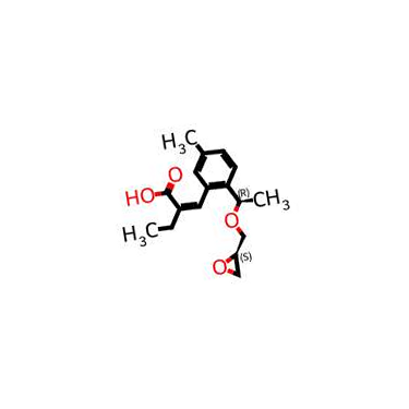 CCC(=Cc1cc(C)ccc1[C@@H](C)OC[C@H]1CO1)C(=O)O